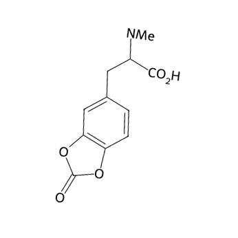 CNC(Cc1ccc2oc(=O)oc2c1)C(=O)O